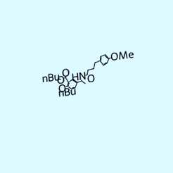 CCCCOC(=O)c1cc(C(C)NC(=O)CCCc2ccc(OC)cc2)ccc1OCCCC